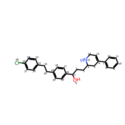 OC(CCC1CC(c2ccccc2)=CCN1)c1ccc(CCc2ccc(Cl)cc2)cc1